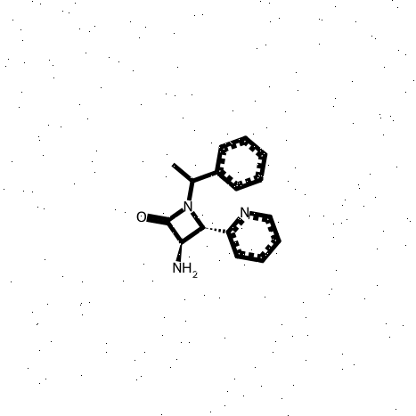 CC(c1ccccc1)N1C(=O)[C@H](N)[C@H]1c1ccccn1